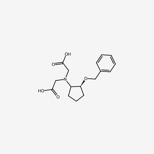 O=C(O)CN(CC(=O)O)C1CCC[C@@H]1OCc1ccccc1